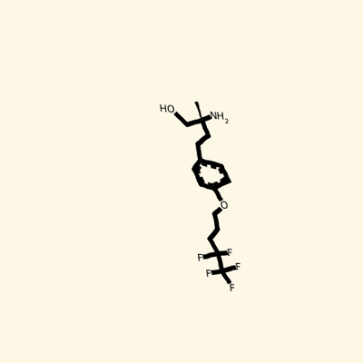 C[C@](N)(CO)CCc1ccc(OCCCC(F)(F)C(F)(F)F)cc1